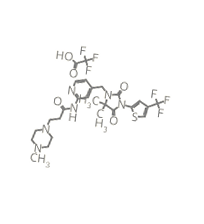 CN1CCN(CCC(=O)Nc2cc(CN3C(=O)N(c4cc(C(F)(F)F)cs4)C(=O)C3(C)C)ccn2)CC1.O=C(O)C(F)(F)F